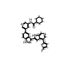 O=C(Nc1cncc(-c2ccc3[nH]nc(-c4cc5c(-c6ccc(F)s6)cncc5[nH]4)c3c2)c1)C1CCCCC1